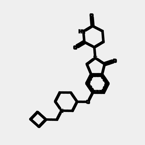 O=C1CCC(N2Cc3cc(OC4CCCN(CC5CCC5)C4)ccc3C2=O)C(=O)N1